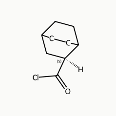 O=C(Cl)[C@H]1CC2CCC1CC2